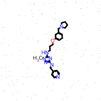 Cn1nc(/N=C/c2ccncc2)nc1NCCCOC1=CCC=C(CN2CCCC2)C1